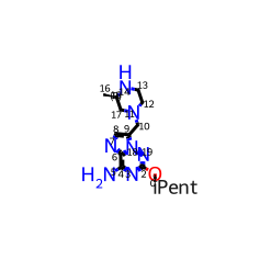 CCCC(C)Oc1nc(N)c2ncc(CN3CCN[C@H](C)C3)n2n1